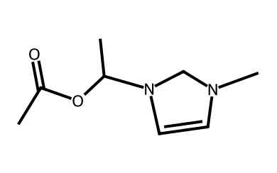 CC(=O)OC(C)N1C=CN(C)C1